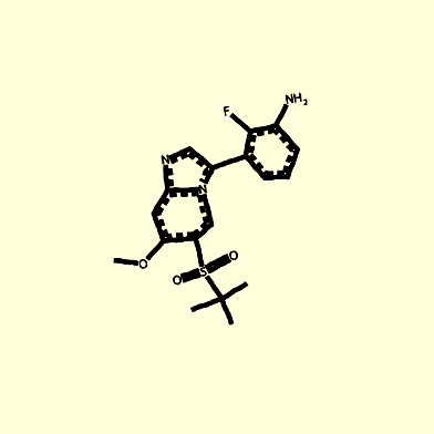 COc1cc2ncc(-c3cccc(N)c3F)n2cc1S(=O)(=O)C(C)(C)C